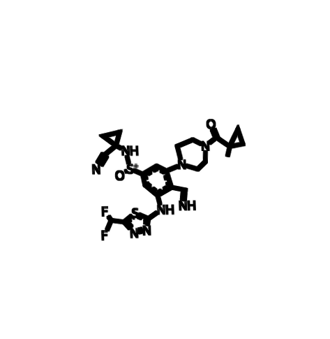 CC1(C(=O)N2CCN(c3cc([S+]([O-])NC4(C#N)CC4)cc(Nc4nnc(C(F)F)s4)c3C=N)CC2)CC1